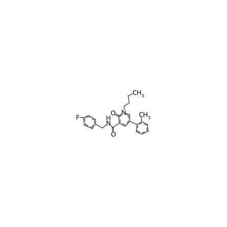 CCCCn1cc(-c2ccccc2C)cc(C(=O)NCc2ccc(F)cc2)c1=O